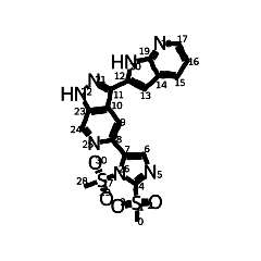 CS(=O)(=O)c1ncc(-c2cc3c(-c4cc5cccnc5[nH]4)n[nH]c3cn2)n1S(C)(=O)=O